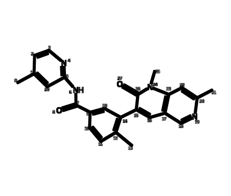 Cc1ccnc(NC(=O)c2ccc(C)c(-c3cc4cnc(C)cc4n(C)c3=O)c2)c1